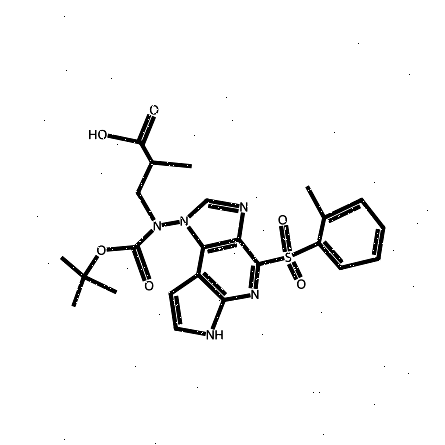 Cc1ccccc1S(=O)(=O)c1nc2[nH]ccc2c2c1ncn2N(CC(C)C(=O)O)C(=O)OC(C)(C)C